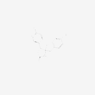 CC(C)(C)C1(Cc2ccc(C(F)(F)F)cc2)C(c2ccc(Cl)nc2)OC(=O)N1C(=O)O